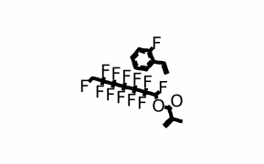 C=C(C)C(=O)OC(F)C(F)(F)C(F)(F)C(F)(F)C(F)(F)C(F)(F)CF.C=Cc1ccccc1F